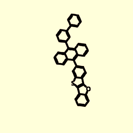 c1ccc(-c2cccc(-c3c4ccccc4c(-c4ccc5c(c4)sc4c6ccccc6oc54)c4ccccc34)c2)cc1